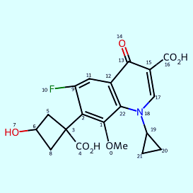 COc1c(C2(C(=O)O)CC(O)C2)c(F)cc2c(=O)c(C(=O)O)cn(C3CC3)c12